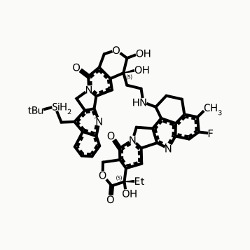 CC[C@@]1(O)C(=O)OCc2c1cc1n(c2=O)Cc2c-1nc1cc(F)c(C)c3c1c2C(NCC[C@]1(O)c2cc4n(c(=O)c2COC1O)Cc1c-4nc2ccccc2c1C[SiH2]C(C)(C)C)CC3